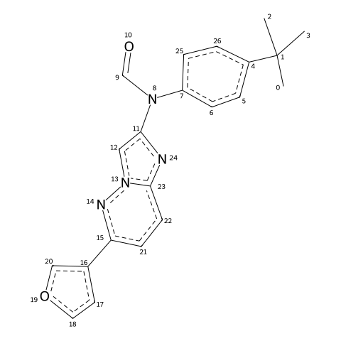 CC(C)(C)c1ccc(N(C=O)c2cn3nc(-c4ccoc4)ccc3n2)cc1